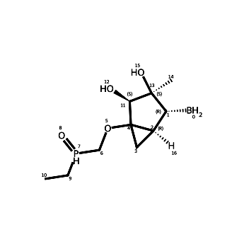 B[C@@H]1[C@H]2CC2(OC[PH](=O)CC)[C@@H](O)[C@@]1(C)O